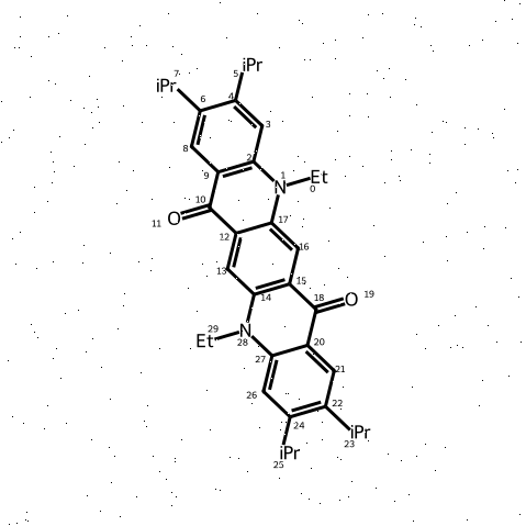 CCn1c2cc(C(C)C)c(C(C)C)cc2c(=O)c2cc3c(cc21)c(=O)c1cc(C(C)C)c(C(C)C)cc1n3CC